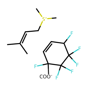 CC(C)=CC[S+](C)C.O=C([O-])C1(F)C=CC(F)C(F)(F)C1(F)F